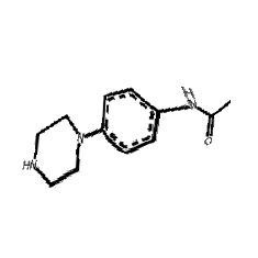 CC(=O)Nc1ccc(N2CCNCC2)cc1